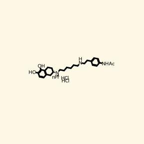 CCCN(CCCCCCNCCc1ccc(NC(C)=O)cc1)[C@H]1CCc2c(ccc(O)c2O)C1.Cl.Cl